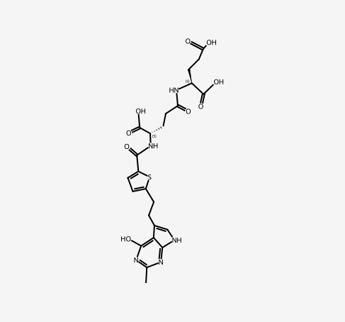 Cc1nc(O)c2c(CCc3ccc(C(=O)N[C@@H](CCC(=O)N[C@@H](CCC(=O)O)C(=O)O)C(=O)O)s3)c[nH]c2n1